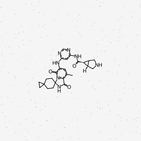 Cc1cc(Nc2cc(NC(=O)[C@H]3C4CNC[C@@H]43)ncn2)c(=O)n2c1C(=O)NC21CCC2(CC2)CC1